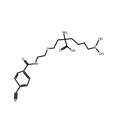 N#Cc1ccc(C(=O)NCCOCCC(N)(CCCCB(O)O)C(=O)O)cc1